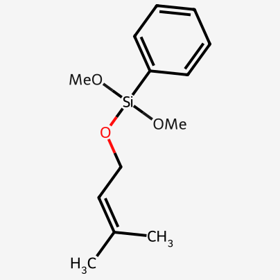 CO[Si](OC)(OCC=C(C)C)c1ccccc1